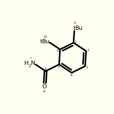 CC(C)(C)c1cccc(C(N)=O)c1C(C)(C)C